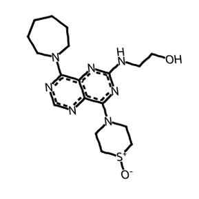 [O-][S+]1CCN(c2nc(NCCO)nc3c(N4CCCCCC4)ncnc23)CC1